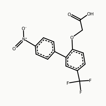 O=C(O)COc1ccc(C(F)(F)F)cc1-c1ccc([N+](=O)[O-])cc1